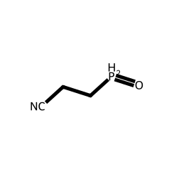 N#CCC[PH2]=O